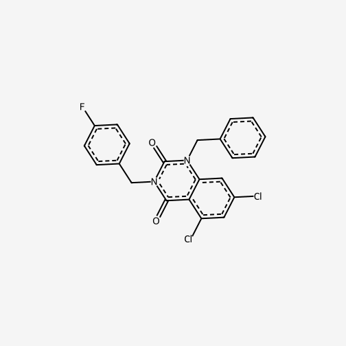 O=c1c2c(Cl)cc(Cl)cc2n(Cc2ccccc2)c(=O)n1Cc1ccc(F)cc1